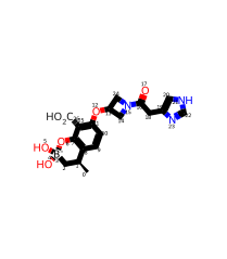 C[C@H]1C[B-](O)(O)Oc2c1ccc(OC1CN(C(=O)Cc3c[nH]cn3)C1)c2C(=O)O